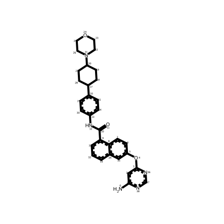 Nc1cc(Oc2ccc3c(C(=O)Nc4ccc(C5CCC(N6CCOCC6)CC5)cc4)cccc3c2)ncn1